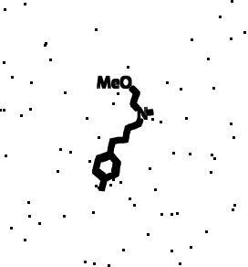 COCCN(C)CCCCc1ccc(C)cc1